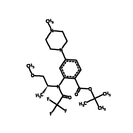 COC[C@@H](C)N(C(=O)C(F)(F)F)c1cc(N2CCN(C)CC2)ccc1C(=O)OC(C)(C)C